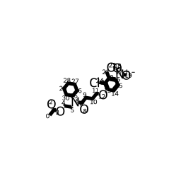 CC(=O)OCCN(C(=O)CCCOc1ccc([N+](=O)[O-])c(C=O)c1Cl)C1CCCCC1